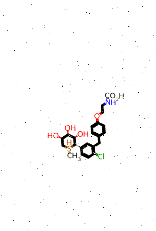 C[SH]1C[C@@H](O)[C@@H](O)[C@@H](O)[C@@H]1c1ccc(Cl)c(Cc2ccc(OCCNC(=O)O)cc2)c1